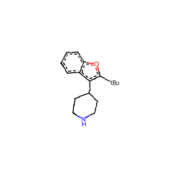 CC(C)(C)c1oc2ccccc2c1C1CCNCC1